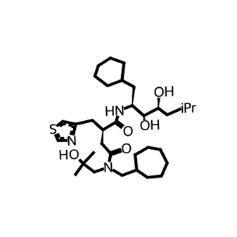 CC(C)C[C@H](O)[C@H](O)[C@H](CC1CCCCC1)NC(=O)[C@@H](CC(=O)N(CC1CCCCCC1)CC(C)(C)O)Cc1cscn1